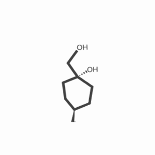 [CH2][C@H]1CC[C@@](O)(CO)CC1